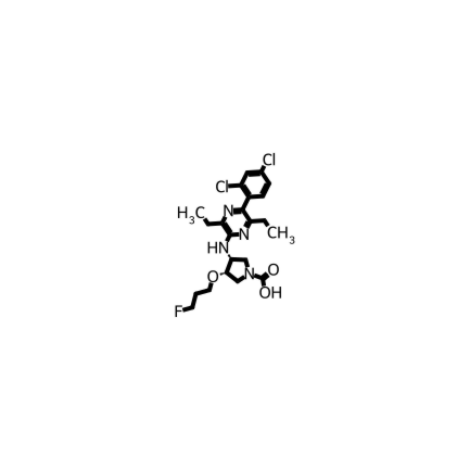 CCc1nc(-c2ccc(Cl)cc2Cl)c(CC)nc1N[C@@H]1CN(C(=O)O)C[C@@H]1OCCCF